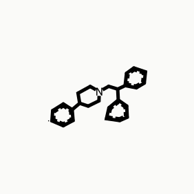 [c]1ccc(C2CCN(CC(c3ccccc3)c3ccccc3)CC2)cc1